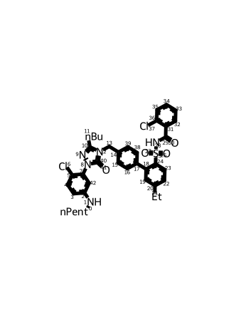 CCCCCNc1ccc(Cl)c(-n2nc(CCCC)n(Cc3ccc(-c4cc(CC)ccc4S(=O)(=O)NC(=O)c4ccccc4Cl)cc3)c2=O)c1